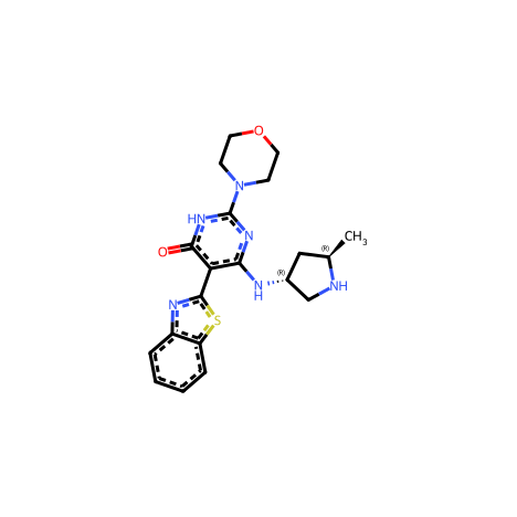 C[C@@H]1C[C@@H](Nc2nc(N3CCOCC3)[nH]c(=O)c2-c2nc3ccccc3s2)CN1